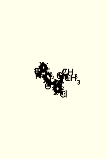 CN(C)C(=O)Cn1cc(C(=O)N2CCC(c3ccccc3C(F)(F)F)CC2)c2ccc(Cl)cc21